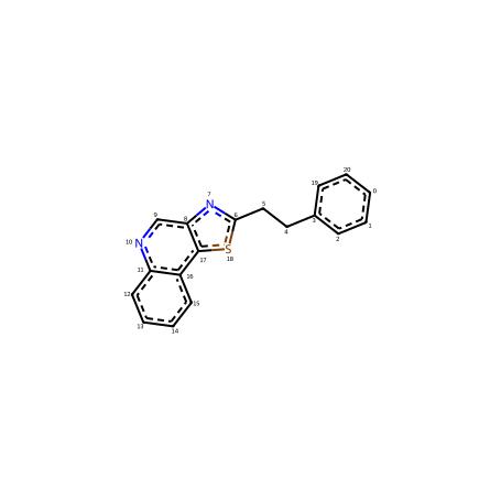 c1ccc(CCc2nc3cnc4ccccc4c3s2)cc1